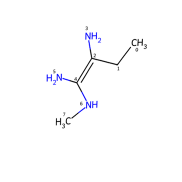 CC/C(N)=C(/N)NC